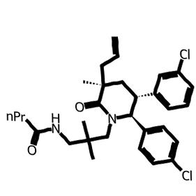 C=CC[C@@]1(C)C[C@H](c2cccc(Cl)c2)[C@@H](c2ccc(Cl)cc2)N(CC(C)(C)CNC(=O)CCC)C1=O